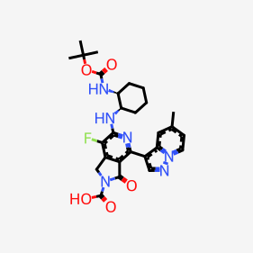 Cc1ccn2ncc(-c3nc(N[C@@H]4CCCC[C@@H]4NC(=O)OC(C)(C)C)c(F)c4c3C(=O)N(C(=O)O)C4)c2c1